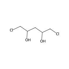 OC(CCl)CC(O)CCl